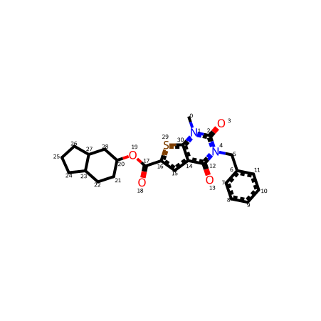 Cn1c(=O)n(Cc2ccccc2)c(=O)c2cc(C(=O)OC3CCC4CCCC4C3)sc21